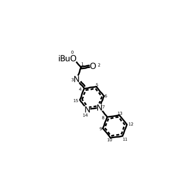 CC(C)COC(=O)N=c1ccn(-c2ccccc2)nc1